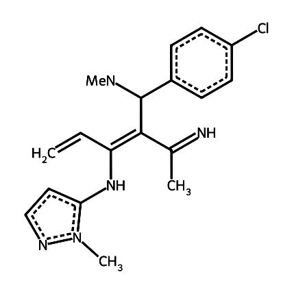 C=C/C(Nc1ccnn1C)=C(/C(C)=N)C(NC)c1ccc(Cl)cc1